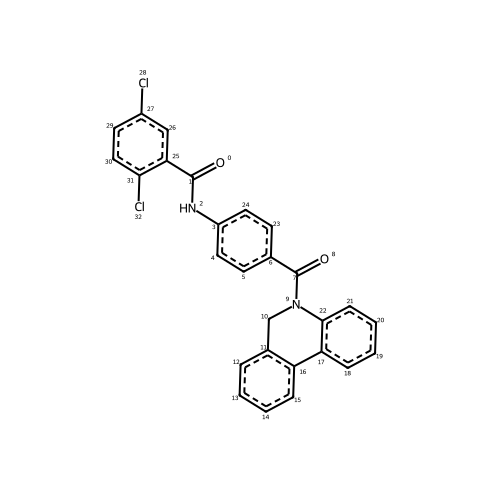 O=C(Nc1ccc(C(=O)N2Cc3ccccc3-c3ccccc32)cc1)c1cc(Cl)ccc1Cl